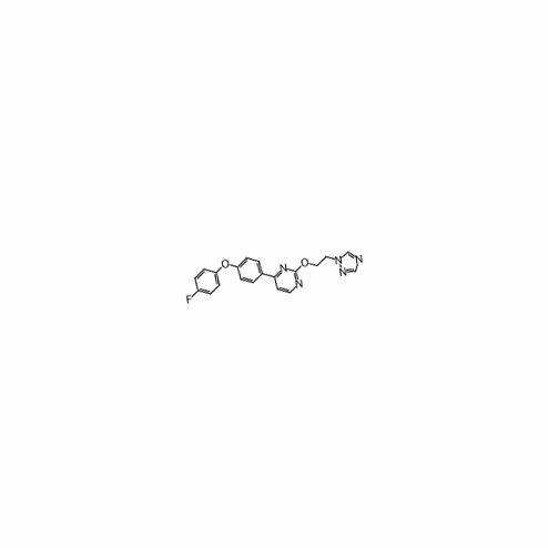 Fc1ccc(Oc2ccc(-c3ccnc(OCCn4cncn4)n3)cc2)cc1